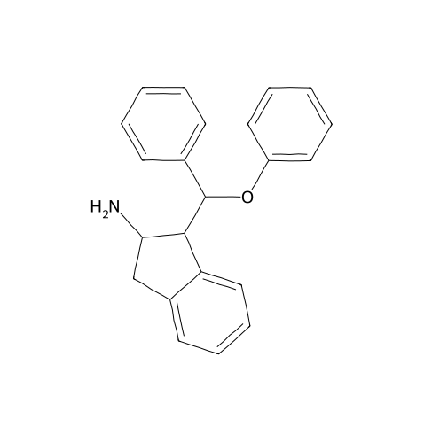 NC1Cc2ccccc2C1C(Oc1ccccc1)c1ccccc1